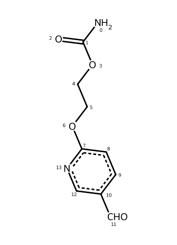 NC(=O)OCCOc1ccc(C=O)cn1